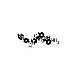 Cc1ccc(NC(=O)c2cccc(N)c2)cc1C(=O)Nc1cnc(Nc2ccc(N3CCN(C)CC3)cc2)nc1